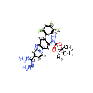 CC(C)(C)OC(=O)N[C@H]1Cc2c(nc3cc(/C(N)=N/N)ccn23)C[C@@H]1c1cc(F)c(F)cc1F